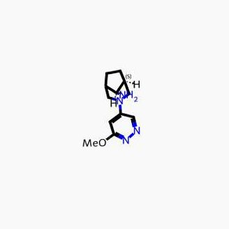 COc1cc(N2CC3CC[C@@H](C2)[C@H]3N)cnn1